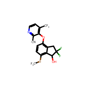 N#Cc1nccc(C(F)(F)F)c1Oc1ccc(SC(F)(F)F)c2c1CC(F)(F)C2O